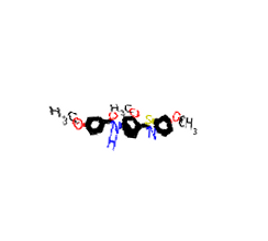 COc1ccc(C(=O)Nc2ccc(-c3nc4ccc(OC)cc4s3)c(OC)c2)cc1